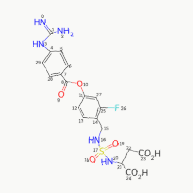 N=C(N)Nc1ccc(C(=O)Oc2ccc(CNS(=O)(=O)NC(CC(=O)O)C(=O)O)c(F)c2)cc1